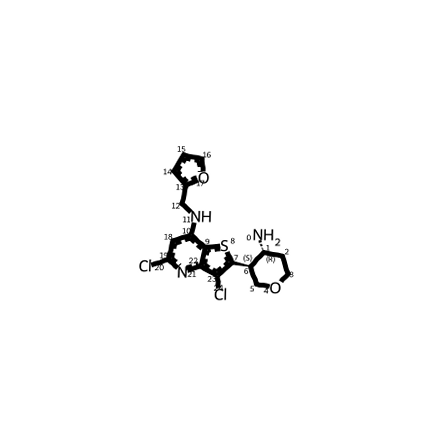 N[C@@H]1CCOC[C@H]1c1sc2c(NCc3ccco3)cc(Cl)nc2c1Cl